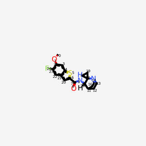 COc1cc2sc(C(=O)N[C@H]3C4CCN(CC4)C34CC4)cc2cc1F